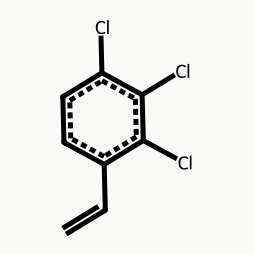 C=Cc1ccc(Cl)c(Cl)c1Cl